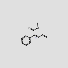 C=C/C=C(\C(=O)OC)c1ccccc1